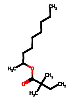 CCCCCCCC(C)OC(=O)C(C)(C)CC